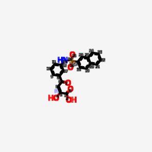 O=C(O)/C(O)=C\C(=O)c1cccc(NS(=O)(=O)c2ccc3ccccc3c2)c1